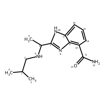 CC(C)CNC(C)c1nc2c(C(N)=O)cccc2[nH]1